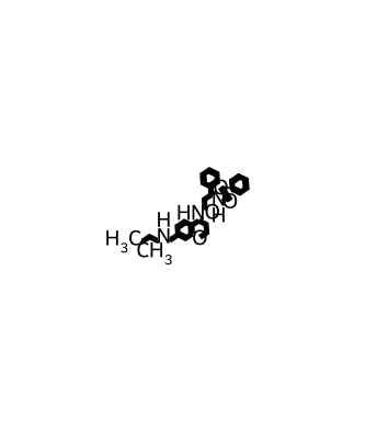 CC(C)CCNCc1ccc2c(c1)OCCC2NC(=O)CC(NS(=O)(=O)c1ccccc1)c1ccccc1